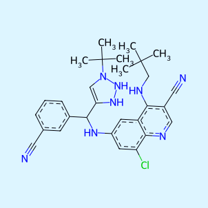 CC(C)(C)CNc1c(C#N)cnc2c(Cl)cc(NC(C3=CN(C(C)(C)C)NN3)c3cccc(C#N)c3)cc12